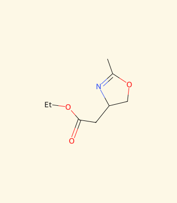 CCOC(=O)CC1COC(C)=N1